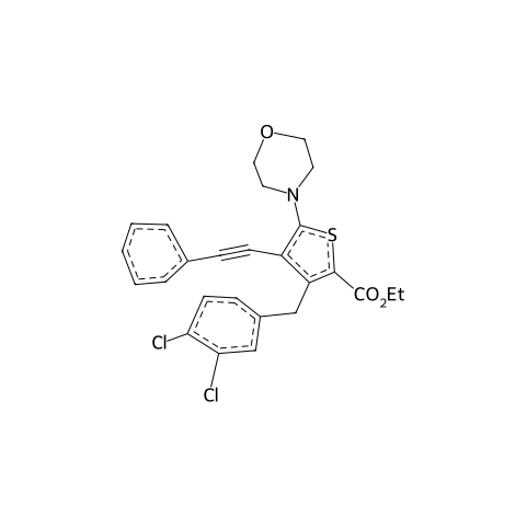 CCOC(=O)c1sc(N2CCOCC2)c(C#Cc2ccccc2)c1Cc1ccc(Cl)c(Cl)c1